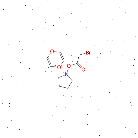 C1=COC=CO1.O=C(CBr)ON1CCCC1